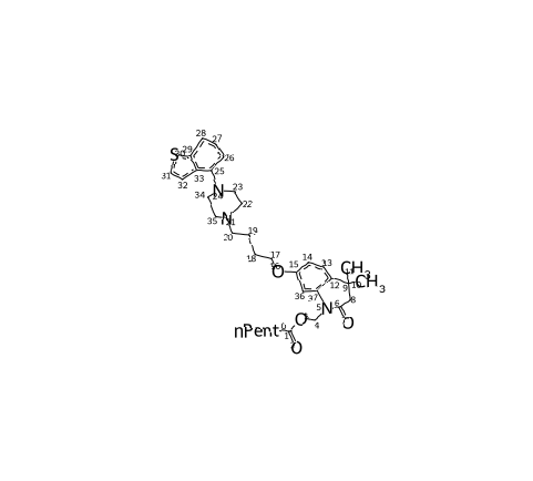 CCCCCC(=O)OCN1C(=O)CC(C)(C)c2ccc(OCCCCN3CCN(c4cccc5sccc45)CC3)cc21